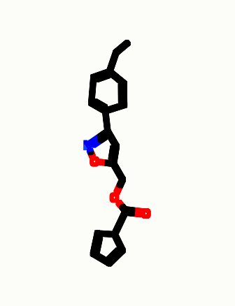 CCc1ccc(-c2cc(COC(=O)C3C=CC=C3)on2)cc1